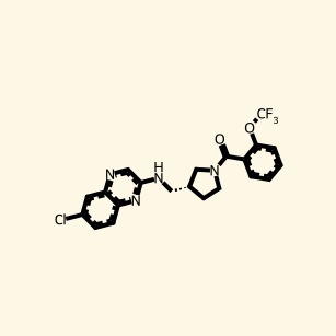 O=C(c1ccccc1OC(F)(F)F)N1CC[C@H](CNc2cnc3cc(Cl)ccc3n2)C1